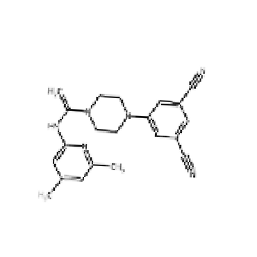 C=C(Nc1cc(C)cc(C)n1)N1CCN(c2cc(C#N)cc(C#N)c2)CC1